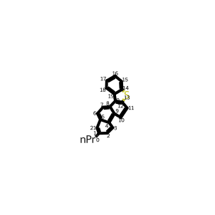 CCCc1ccc2c(ccc3c2ccc2sc4ccccc4c23)c1